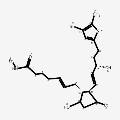 CCNC(=O)CCCC=CC[C@H]1C(O)CC(CC)[C@@H]1C=C[C@@H](O)CCc1cc(Br)c(C)s1